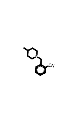 CC1CCN(Cc2ccccc2C#N)CC1